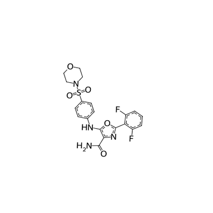 NC(=O)c1nc(-c2c(F)cccc2F)oc1Nc1ccc(S(=O)(=O)N2CCOCC2)cc1